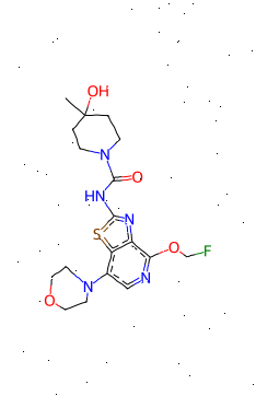 CC1(O)CCN(C(=O)Nc2nc3c(OCF)ncc(N4CCOCC4)c3s2)CC1